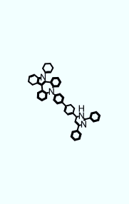 C1=Cc2c(c3c(n2C2=CCCCC2)-c2ccccc2N(c2ccc(C4=CC=C(C5C=C(c6ccccc6)N=C(c6ccccc6)N5)CC4)cc2)c2ccccc2-3)CC1